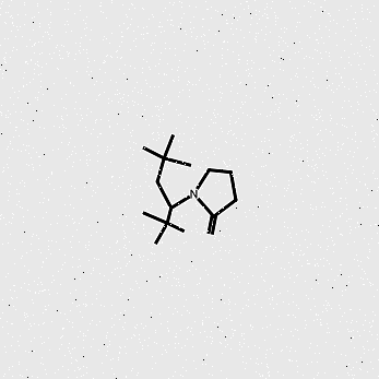 C=C1CCCN1C(CC(C)(C)C)C(C)(C)C